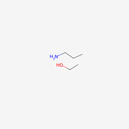 CCCN.CCO